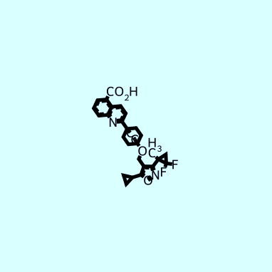 CC1(c2noc(C3CC3)c2COC23CCC(c4ccc5c(C(=O)O)cccc5n4)(CC2)CC3)CC1(F)F